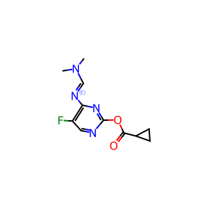 CN(C)/C=N/c1nc(OC(=O)C2CC2)ncc1F